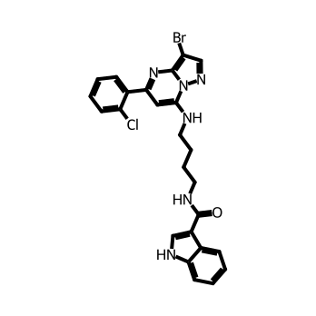 O=C(NCCCCNc1cc(-c2ccccc2Cl)nc2c(Br)cnn12)c1c[nH]c2ccccc12